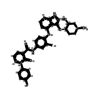 CN1CC[C@H](Oc2n[nH]c3nccc(Oc4ccc(NC(=O)c5ccnn(-c6ccc(F)cc6)c5=O)cc4F)c23)[C@@H](O)C1